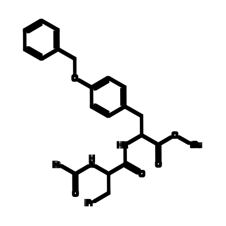 CCC(=O)NC(CC(C)C)C(=O)NC(Cc1ccc(OCc2ccccc2)cc1)C(=O)OC(C)(C)C